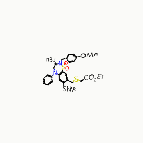 CCCC[C@@H]1CN(c2ccccc2)c2cc(SC)c(CSCC(=O)OCC)cc2S(=O)(=O)N1Cc1ccc(OC)cc1